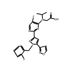 CC(C)N(CC(=O)O)c1nc(-c2cc(-c3ccon3)n(Cc3ccccc3F)n2)ncc1F